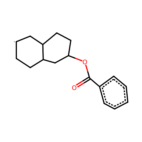 O=C(OC1CCC2C[CH]CCC2C1)c1ccccc1